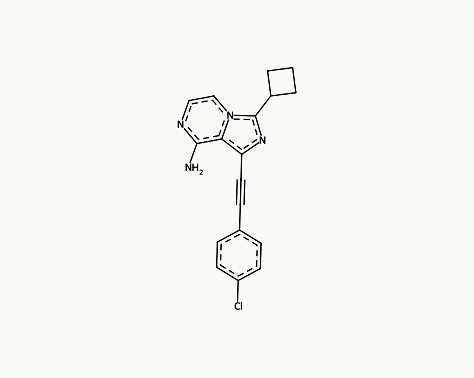 Nc1nccn2c(C3CCC3)nc(C#Cc3ccc(Cl)cc3)c12